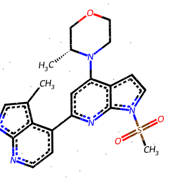 Cc1c[nH]c2nccc(-c3cc(N4CCOC[C@H]4C)c4ccn(S(C)(=O)=O)c4n3)c12